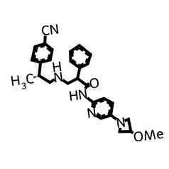 COC1CN(c2ccc(NC(=O)C(CNC[C@H](C)c3ccc(C#N)cc3)c3ccccc3)nc2)C1